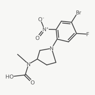 CN(C(=O)O)C1CCN(c2cc(F)c(Br)cc2[N+](=O)[O-])C1